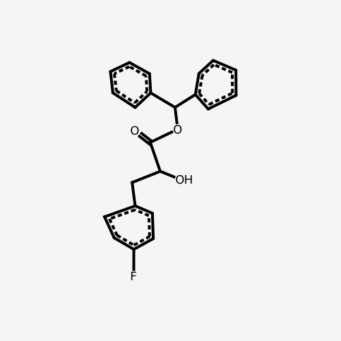 O=C(OC(c1ccccc1)c1ccccc1)C(O)Cc1ccc(F)cc1